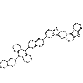 c1ccc2cc(-c3c4ccccc4c(-c4ccc5cc(-c6ccc7sc8cc9c(ccc%10oc%11ccccc%11c%109)cc8c7c6)ccc5c4)c4ccccc34)ccc2c1